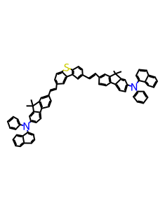 CC1(C)c2cc(/C=C/c3ccc4sc5ccc(/C=C/c6ccc7c(c6)C(C)(C)c6cc(N(c8ccccc8)c8cccc9ccccc89)ccc6-7)cc5c4c3)ccc2-c2ccc(N(c3ccccc3)c3cccc4ccccc34)cc21